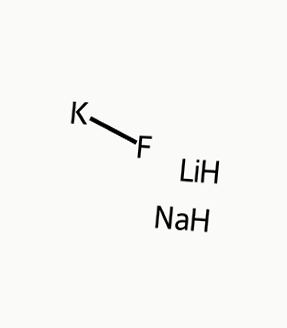 [F][K].[LiH].[NaH]